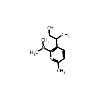 CCC(C)c1ccc(C)nc1N(C)C